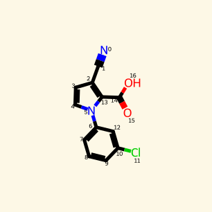 N#Cc1ccn(-c2cccc(Cl)c2)c1C(=O)O